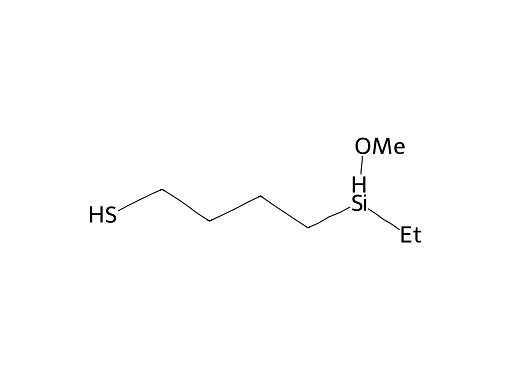 CC[SiH](CCCCS)OC